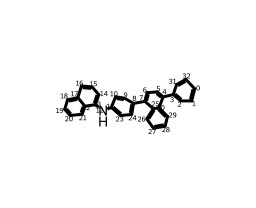 c1ccc(-c2ccc(-c3ccc(Nc4cccc5ccccc45)cc3)c3ccccc23)cc1